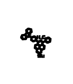 Cc1ccccc1-c1cc(C2=CC=C(n3c4ccccc4c4ccccc43)CC2)c2ccc3cc(C(C)(C)C)cc4ccc1c2c34